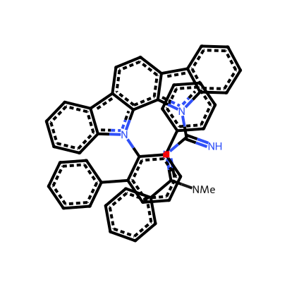 CN/C(=N\C(=N)n1c2ccccc2c2ccc3c4ccccc4n(-c4c(-c5ccccc5)cccc4-c4ccccc4)c3c21)c1ccccc1